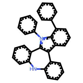 c1ccc(-c2cccc3c4c(n(-c5ccccc5)c23)-c2ccccc2Nc2ccccc2-4)cc1